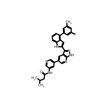 Cc1cc(F)cc(-c2cccc3[nH]c(-c4n[nH]c5ncc(-c6cncc(NC(=O)CC(C)C)c6)cc45)cc23)c1